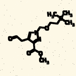 COC(=O)c1nn(COCC[Si](C)(C)C)cc1CC=O